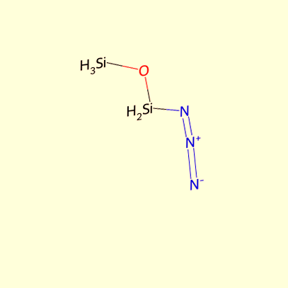 [N-]=[N+]=N[SiH2]O[SiH3]